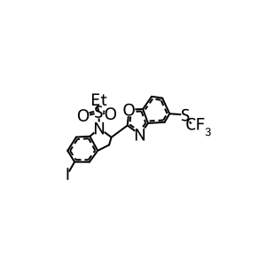 CCS(=O)(=O)N1c2ccc(I)cc2CC1c1nc2cc(SC(F)(F)F)ccc2o1